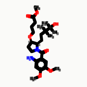 COC(=O)CCCO[C@H]1CCN(C(=O)c2cc(OC)c(OC)cc2N)[C@@H]1CCC(C)(C)[Si](C)(C)O